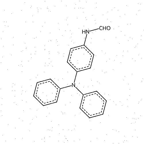 O=CNc1ccc(N(c2ccccc2)c2ccccc2)cc1